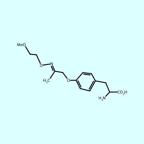 COCCO/N=C(\C)COc1ccc(CC(N)C(=O)O)cc1